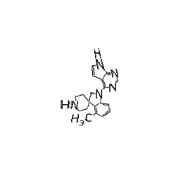 Cc1cccc2c1C1(CCNCC1)CN2c1ncnc2[nH]ccc12